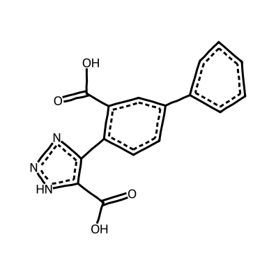 O=C(O)c1cc(-c2ccccc2)ccc1-c1nn[nH]c1C(=O)O